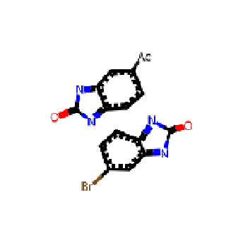 CC(=O)c1ccc2c(c1)=NC(=O)N=2.O=C1N=c2ccc(Br)cc2=N1